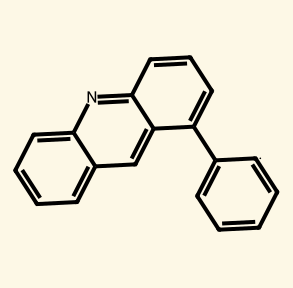 [c]1ccccc1-c1cccc2nc3ccccc3cc12